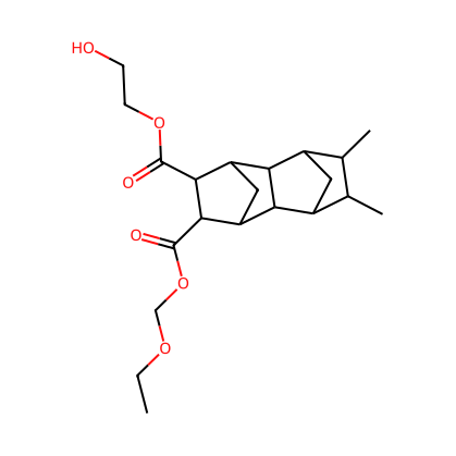 CCOCOC(=O)C1C2CC(C1C(=O)OCCO)C1C3CC(C(C)C3C)C21